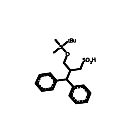 CC(C)(C)[Si](C)(C)OCC(CS(=O)(=O)O)C(c1ccccc1)c1ccccc1